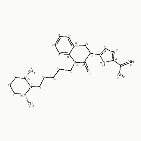 C[C@@H]1CCC[C@H](C)N1CCCCCN1C(=O)C(c2cnc(C(=N)N)[nH]2)Cc2ccccc21